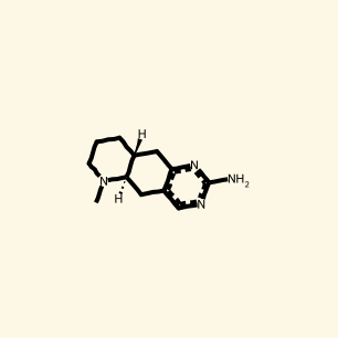 CN1CCC[C@@H]2Cc3nc(N)ncc3C[C@H]21